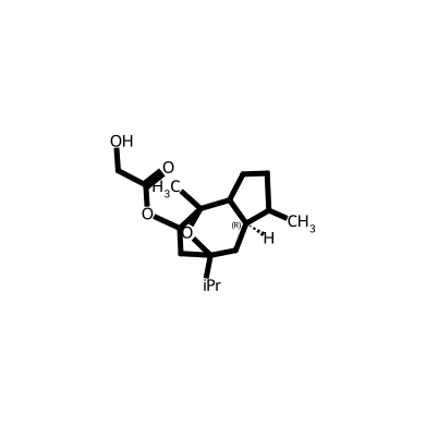 CC1CCC2[C@@H]1CC1(C(C)C)CC(OC(=O)CO)C2(C)O1